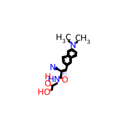 CCN(CC)c1ccc2cc(/C=C(\C#N)C(=O)NCC(O)CO)ccc2c1